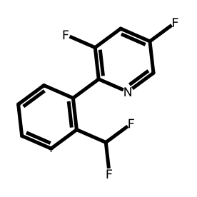 Fc1cnc(-c2ccc[c]c2C(F)F)c(F)c1